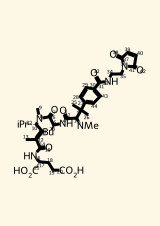 CNC(C(=O)N[C@H](C(=O)N(C)[C@H](/C=C(\C)C(=O)N[C@H](CCC(=O)O)C(=O)O)C(C)C)C(C)(C)C)C(C)(C)c1ccc(C(=O)NCCN2C(=O)C=CC2=O)cc1